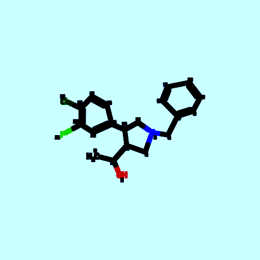 CC(O)C1CN(Cc2ccccc2)CC1c1ccc(Cl)c(F)c1